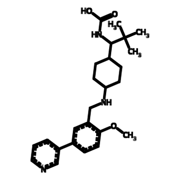 COc1ccc(-c2cccnc2)cc1CNC1CCC(C(NC(=O)O)C(C)(C)C)CC1